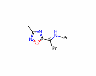 Cc1noc([C@@H](NC(C)C)C(C)C)n1